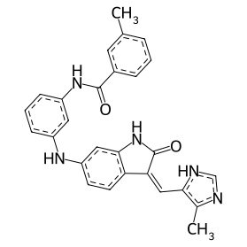 Cc1cccc(C(=O)Nc2cccc(Nc3ccc4c(c3)NC(=O)/C4=C\c3[nH]cnc3C)c2)c1